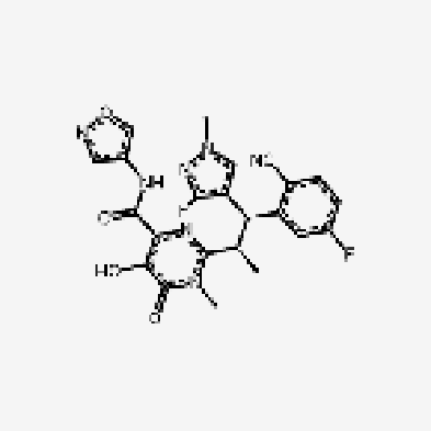 C[C@@H](c1nc(C(=O)Nc2cnoc2)c(O)c(=O)n1C)[C@H](c1cc(F)ccc1C#N)c1cn(C)nc1F